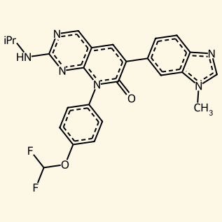 CC(C)Nc1ncc2cc(-c3ccc4ncn(C)c4c3)c(=O)n(-c3ccc(OC(F)F)cc3)c2n1